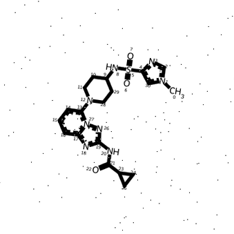 Cn1cnc(S(=O)(=O)NC2CCN(c3cccc4nc(NC(=O)C5CC5)nn34)CC2)c1